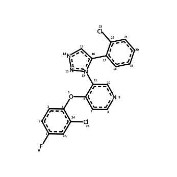 Fc1ccc(Oc2ccncc2-n2nncc2-c2ccccc2Cl)c(Cl)c1